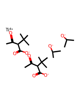 CC(=O)C(C(=O)[O-])C(C)(C)C.CC(=O)C(C(=O)[O-])C(C)(C)C.CC(C)[O-].CC(C)[O-].[Ti+4]